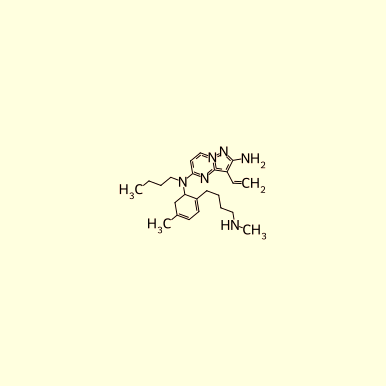 C=Cc1c(N)nn2ccc(N(CCCC)C3CC(C)=CC=C3CCCCNC)nc12